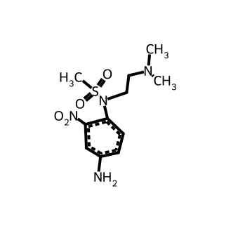 CN(C)CCN(c1ccc(N)cc1[N+](=O)[O-])S(C)(=O)=O